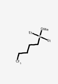 CC[Si](CC)(CCCCC(F)(F)F)OC